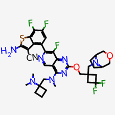 CN(CC1(N(C)C)CCC1)c1nc(OCC2(CN3C4CCC3COC4)CC(F)(F)C2)nc2c(F)c(-c3cc(F)c(F)c4sc(N)c(C#N)c34)ncc12